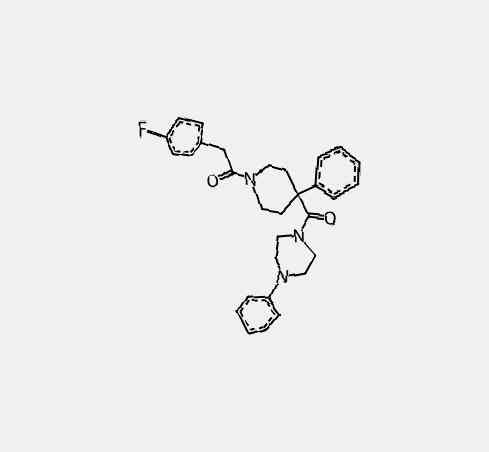 O=C(Cc1ccc(F)cc1)N1CCC(C(=O)N2CCN(c3ccccc3)CC2)(c2ccccc2)CC1